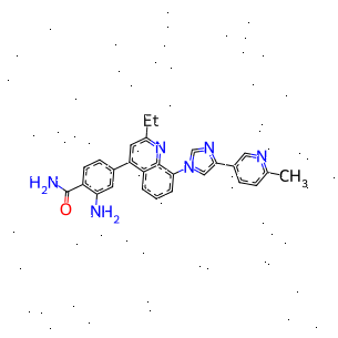 CCc1cc(-c2ccc(C(N)=O)c(N)c2)c2cccc(-n3cnc(-c4ccc(C)nc4)c3)c2n1